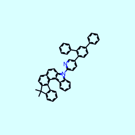 CC1(C)c2ccccc2-c2c1ccc1ccc3c(c4ccccc4n3-c3ccc(-c4ccc(-c5ccccc5)cc4-c4ccccc4)cn3)c21